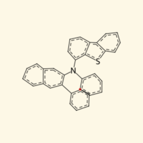 c1ccc(-c2cc3ccccc3cc2N(c2ccccc2)c2cccc3c2sc2ccccc23)cc1